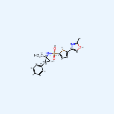 Cc1nc(-c2ccc(S(=O)(=O)NC3(C(=O)O)C[C@H]3c3ccccc3)s2)co1